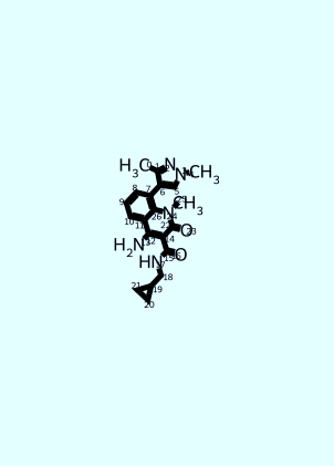 Cc1nn(C)cc1-c1cccc2c(N)c(C(=O)NCC3CC3)c(=O)n(C)c12